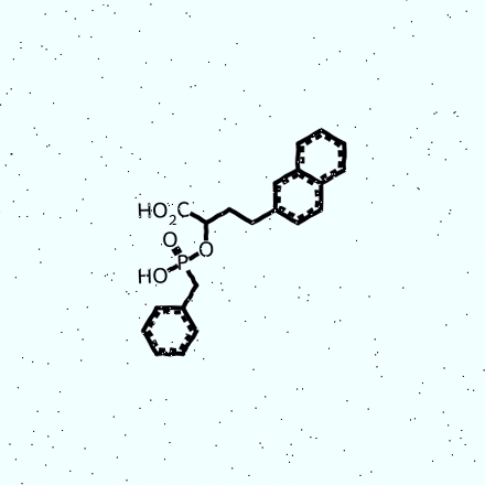 O=C(O)C(CCc1ccc2ccccc2c1)OP(=O)(O)Cc1ccccc1